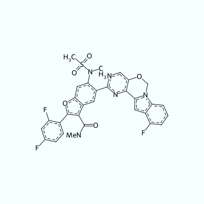 CNC(=O)c1c(-c2ccc(F)cc2F)oc2cc(N(C)S(C)(=O)=O)c(-c3ncc4c(n3)-c3cc5c(F)cccc5n3CO4)cc12